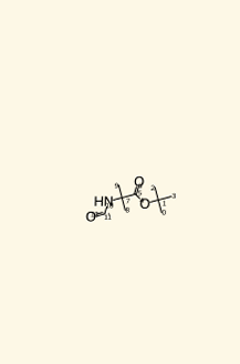 CC(C)(C)OC(=O)C(C)(C)N[C]=O